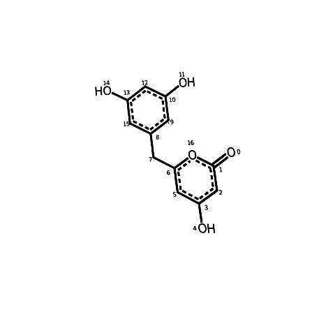 O=c1cc(O)cc(Cc2[c]c(O)cc(O)c2)o1